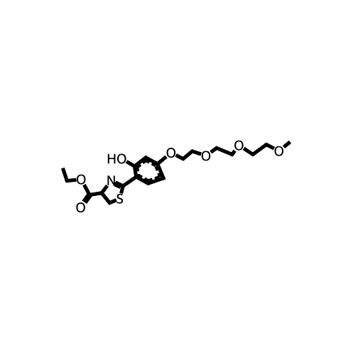 CCOC(=O)C1CSC(c2ccc(OCCOCCOCCOC)cc2O)=N1